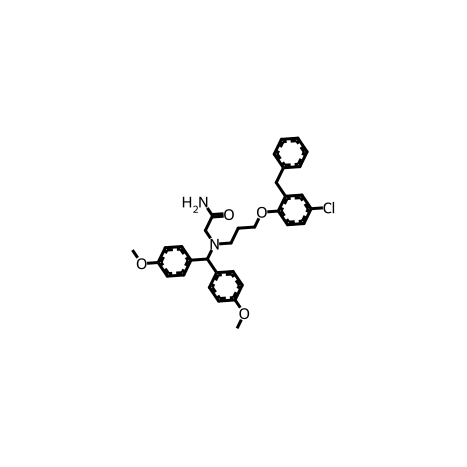 COc1ccc(C(c2ccc(OC)cc2)N(CCCOc2ccc(Cl)cc2Cc2ccccc2)CC(N)=O)cc1